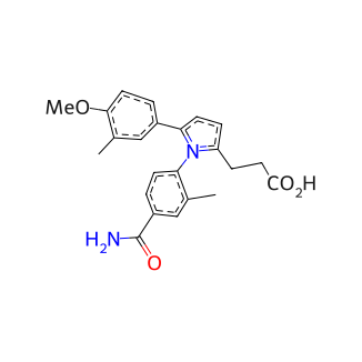 COc1ccc(-c2ccc(CCC(=O)O)n2-c2ccc(C(N)=O)cc2C)cc1C